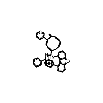 C=C1/C=C\C=C/CC(/C(=N/C(=N)c2ccccc2)Nc2cccc3oc4cccc(-c5ccccc5)c4c23)=C\C=C/1c1ccccc1